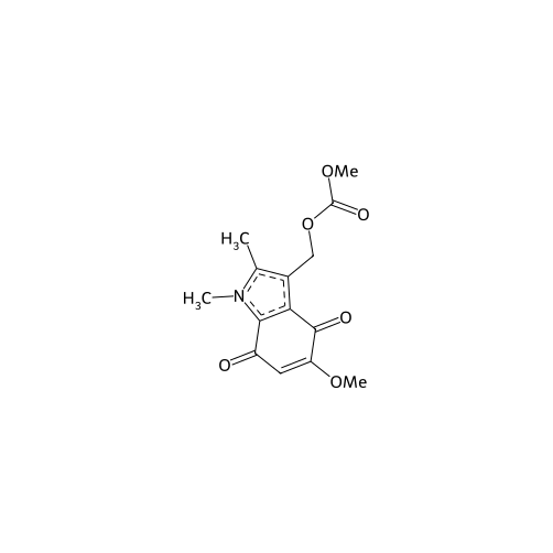 COC(=O)OCc1c2c(n(C)c1C)C(=O)C=C(OC)C2=O